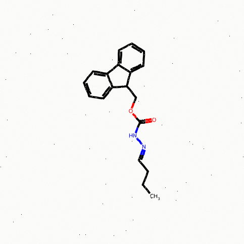 CCC/C=N/NC(=O)OCC1c2ccccc2-c2ccccc21